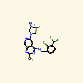 Cc1nc(NCc2cccc(C(F)F)c2F)c2cc(N3CC(N)[C@@H](F)C3)ncc2n1